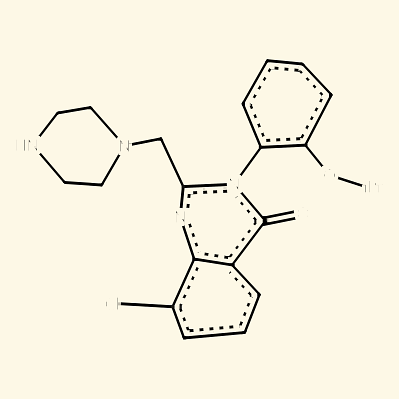 CC(C)Oc1ccccc1-n1c(CN2CCNCC2)nc2c(Cl)cccc2c1=O